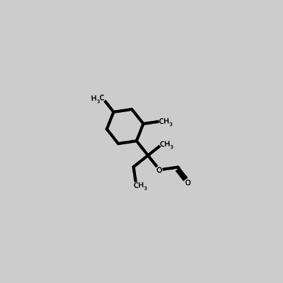 CCC(C)(O[C]=O)C1CCC(C)CC1C